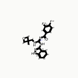 CC1(CN/C(=N/C(=O)c2ccc(F)c(F)c2)Nc2n[nH]c3ccccc23)COC1